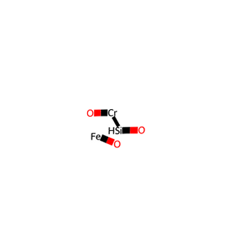 O=[SiH][Cr]=[O].[O]=[Fe]